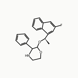 C[C@@H](OC1OCCNC1c1ccccc1)c1cc(F)cc2ccccc12